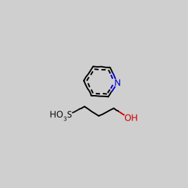 O=S(=O)(O)CCCO.c1ccncc1